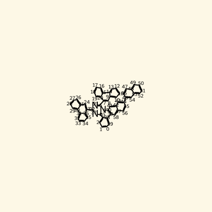 c1ccc(-c2nc(-c3cc4ccccc4c4ccccc34)nc(-c3cc4ccccc4c4ccccc34)n2)c(-c2ccc3cc(-c4ccc5ccccc5c4)ccc3c2)c1